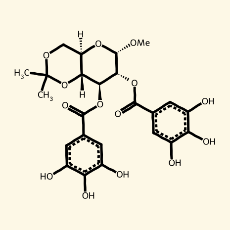 CO[C@H]1O[C@@H]2COC(C)(C)O[C@H]2[C@H](OC(=O)c2cc(O)c(O)c(O)c2)[C@H]1OC(=O)c1cc(O)c(O)c(O)c1